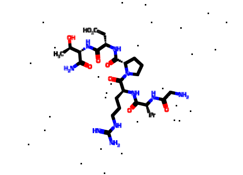 CC(C)[C@H](NC(=O)CN)C(=O)N[C@@H](CCCNC(=N)N)C(=O)N1CCC[C@H]1C(=O)N[C@@H](CC(=O)O)C(=O)N[C@H](C(N)=O)[C@@H](C)O